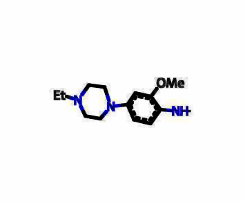 CCN1CCN(c2ccc([NH])c(OC)c2)CC1